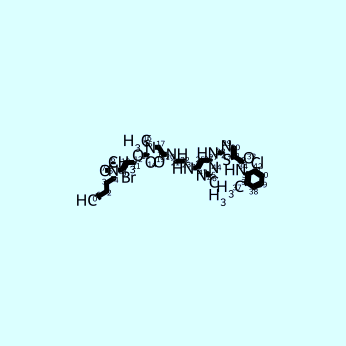 C#CCCC[N+](C)([O-])C(Br)=CCOC(=O)N(C)CC(=O)NCCNc1cc(Nc2ncc(C(=O)Nc3c(C)cccc3Cl)s2)nc(C)n1